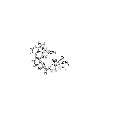 CC1(C)C(=O)Nc2cc(Nc3nc4c(N5C[C@H](O)C[C@@H]5c5ccccc5C(F)(F)F)nccn4n3)ccc21